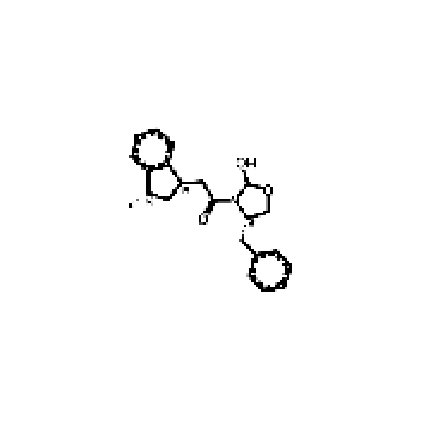 C[C@H]1C[C@H](CC(=O)N2C(O)OC[C@@H]2Cc2ccccc2)c2ccccc21